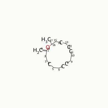 C=C1CCCCCCCCCCCCCCC(C)O1